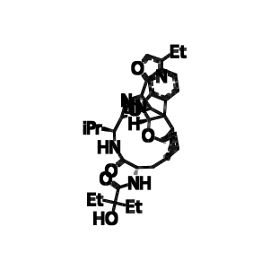 CCc1coc(-c2nc3oc2C24c5ccccc5N[C@H]2Oc2ccc(cc24)C[C@H](NC(=O)C(O)(CC)CC)C(=O)N[C@H]3C(C)C)n1